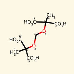 CC(OCOC(C)(C(=O)O)C(=O)O)(C(=O)O)C(=O)O